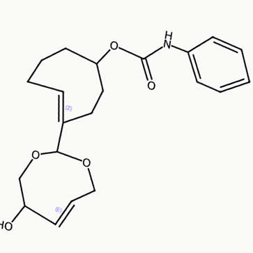 O=C(Nc1ccccc1)OC1CCC/C=C(\C2OC/C=C/C(O)CO2)CC1